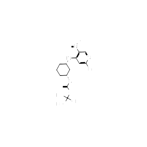 CC(C)(C)OC(=O)N[C@H]1CCC[C@@H](Nc2cc(Br)ncc2[N+](=O)[O-])C1